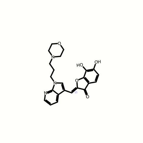 O=C1/C(=C/c2cn(CCCN3CCOCC3)c3ncccc23)Oc2c1ccc(O)c2O